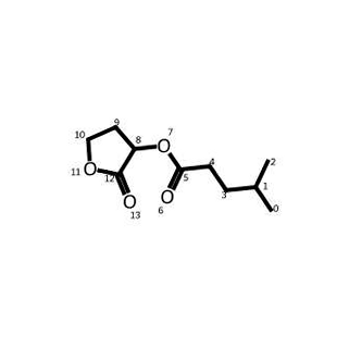 CC(C)CCC(=O)OC1CCOC1=O